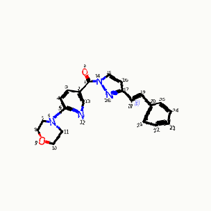 O=C(c1ccc(N2CCOCC2)nc1)n1ccc(/C=C/c2ccccc2)n1